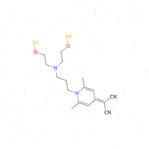 CC1=CC(=C(C#N)C#N)C=C(C)N1CCCN(CCOS)CCOS